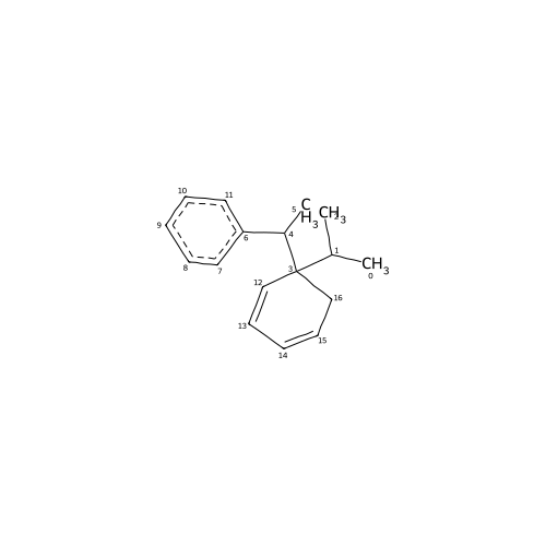 CC(C)C1(C(C)c2ccccc2)C=CC=CC1